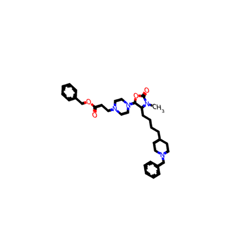 CN1C(=O)OC(N2CCN(CCC(=O)OCc3ccccc3)CC2)C1CCCCC1CCN(Cc2ccccc2)CC1